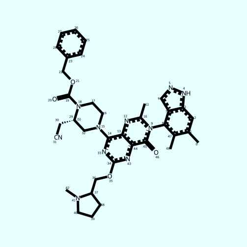 Cc1cc2[nH]ncc2c(-n2c(C)nc3c(N4CCN(C(=O)OCc5ccccc5)[C@@H](CC#N)C4)nc(OCC4CCCN4C)nc3c2=O)c1C